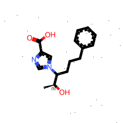 C[C@H](O)C(CCCc1ccccc1)n1cnc(C(=O)O)c1